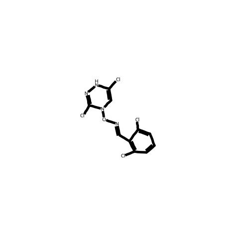 ClC1=CN(O/N=C/c2c(Cl)cccc2Cl)C(Cl)=NN1